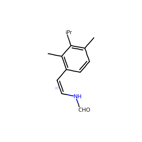 Cc1ccc(/C=C\NC=O)c(C)c1C(C)C